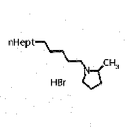 Br.CCCCCCCCCCCCN1CCCC1C